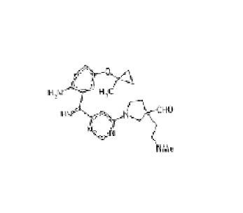 CNCCC1(C=O)CCN(c2cc(C(=N)c3cc(OC4(C)CC4)ccc3N)ncn2)C1